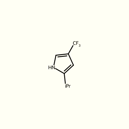 CC(C)c1cc(C(F)(F)F)c[nH]1